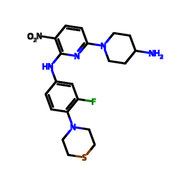 NC1CCN(c2ccc([N+](=O)[O-])c(Nc3ccc(N4CCSCC4)c(F)c3)n2)CC1